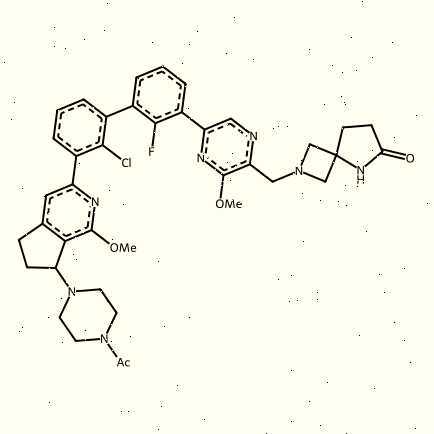 COc1nc(-c2cccc(-c3cccc(-c4cc5c(c(OC)n4)C(N4CCN(C(C)=O)CC4)CC5)c3Cl)c2F)cnc1CN1CC2(CCC(=O)N2)C1